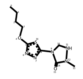 CCCCOc1nnc(N2CNN(C)C2=O)s1